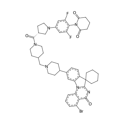 O=C([C@@H]1CCN(c2cc(F)c(N3C(=O)CCCC3=O)c(F)c2)C1)N1CCC(CN2CCC(c3ccc4c(c3)-n3c(nc(=O)c5c(Br)cccc53)C43CCCCC3)CC2)CC1